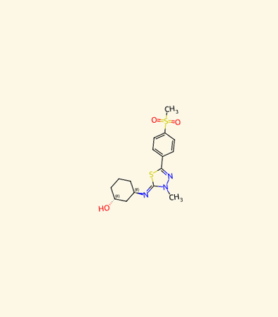 Cn1nc(-c2ccc(S(C)(=O)=O)cc2)sc1=N[C@@H]1CCC[C@@H](O)C1